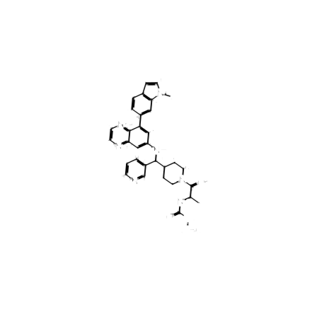 CC(NC(=O)OC(C)(C)C)C(=O)N1CCC(C(Nc2cc(-c3ccc4ccn(C)c4c3)c3nccnc3c2)c2cccnc2)CC1